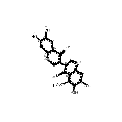 O=C(O)c1c(O)c(O)cc2occ(-c3c[nH]c4cc(O)c(O)cc4c3=O)c(=O)c12